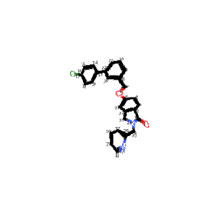 O=C1c2ccc(OCc3cccc(-c4ccc(Cl)cc4)c3)cc2CN1Cc1ccccn1